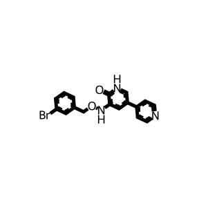 O=c1[nH]cc(-c2ccncc2)cc1NOCc1cccc(Br)c1